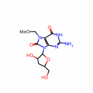 COCn1c(=O)n(C2OC(CO)CC2O)c2nc(N)[nH]c(=O)c21